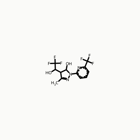 CC1=NN(c2cccc(C(F)(F)F)n2)C(O)C1C(O)C(F)(F)F